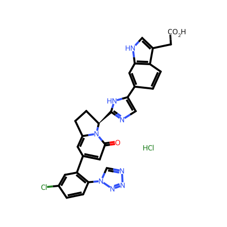 Cl.O=C(O)Cc1c[nH]c2cc(-c3cnc([C@@H]4CCc5cc(-c6cc(Cl)ccc6-n6cnnn6)cc(=O)n54)[nH]3)ccc12